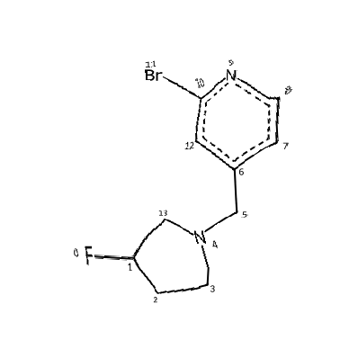 FC1CCN(Cc2ccnc(Br)c2)C1